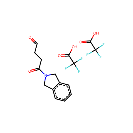 O=C(O)C(F)(F)F.O=C(O)C(F)(F)F.O=CCCC(=O)N1Cc2ccccc2C1